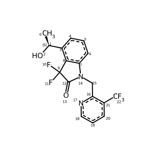 C[C@H](O)c1cccc2c1C(F)(F)C(=O)N2Cc1ncccc1C(F)(F)F